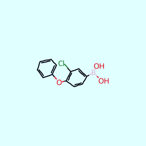 OB(O)c1ccc(Oc2ccccc2)c(Cl)c1